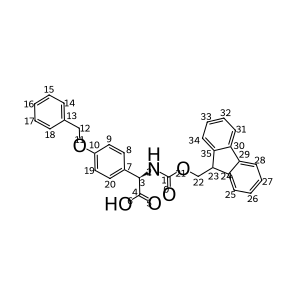 O=C(N[C@@H](C(=O)O)c1ccc(OCc2ccccc2)cc1)OCC1c2ccccc2-c2ccccc21